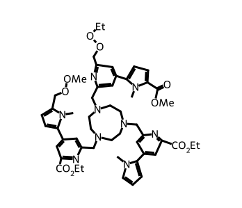 CCOOCc1cc(-c2ccc(C(=O)OC)n2C)cc(CN2CCN(Cc3cc(-c4cccn4C)cc(C(=O)OCC)n3)CCN(Cc3cc(-c4ccc(COOC)n4C)cc(C(=O)OCC)n3)CC2)n1